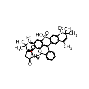 CCN1c2cc3c(cc2C(C)=CC1(C)C)C(c1ccccc1C(=O)ON1C(=O)CCC1=O)=c1cc2c(cc1P3(=O)O)=[N+](CC)C(C)(C)C=C2C